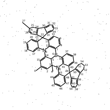 CC1=CC2(C)C3B(c4cccc5c4N(C3=C1)c1ccccc1C51C3=C(CC(C)C=C3)c3ccccc31)c1cccc3c1N2c1ccccc1C31C2=C(CCCC2)c2ccccc21